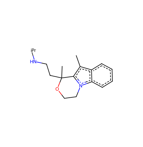 Cc1c2n(c3ccccc13)CCOC2(C)CCNC(C)C